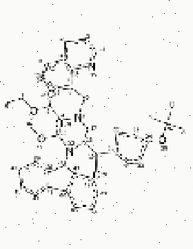 CCOC(CN(Cc1cccc2cccnc12)CC(C(=O)c1ccc(OC(C)(C)C)cc1)N(C(=O)OC)C1c2ccccc2-c2ccccc21)OCC